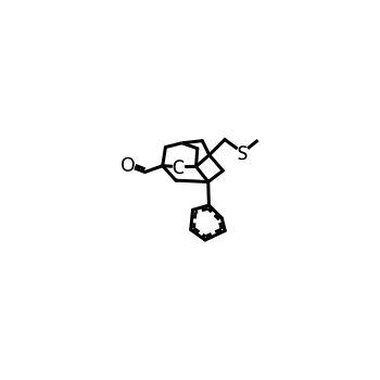 CSCC12CC3CC4(C=O)CC(c5ccccc5)(C1)C2(C3)C4